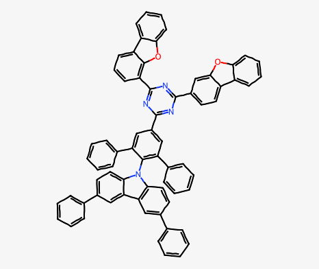 c1ccc(-c2ccc3c(c2)c2cc(-c4ccccc4)ccc2n3-c2c(-c3ccccc3)cc(-c3nc(-c4ccc5c(c4)oc4ccccc45)nc(-c4cccc5c4oc4ccccc45)n3)cc2-c2ccccc2)cc1